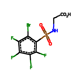 O=C(O)CNS(=O)(=O)c1c(F)c(F)c(F)c(F)c1Br